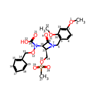 COc1ccc(CN2C(=O)[C@H](N(OCc3ccccc3)C(=O)O)[C@@H]2COS(C)(=O)=O)c(OC)c1